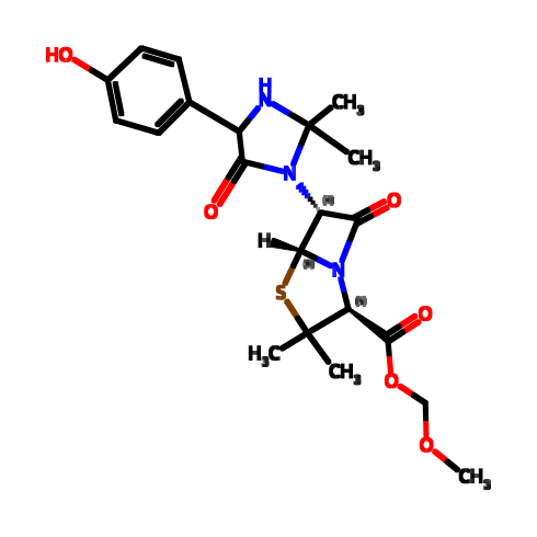 COCOC(=O)[C@@H]1N2C(=O)[C@@H](N3C(=O)C(c4ccc(O)cc4)NC3(C)C)[C@H]2SC1(C)C